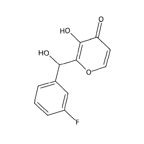 O=c1ccoc(C(O)c2cccc(F)c2)c1O